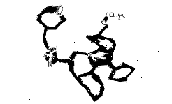 O=C(O)Oc1ccc2c(C3CCCCC3)c3n(c2c1)CC(c1nnn(CC2CCOCC2)n1)=Cc1ccccc1-3